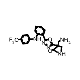 NC[C@@]1(c2nnc(-c3ccccc3Nc3ccc(C(F)(F)F)cc3)o2)CCNC1=O